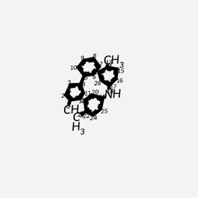 Cc1ccc(-c2ccccc2)cc1.Cc1ccc(Nc2ccc(C)cc2)cc1